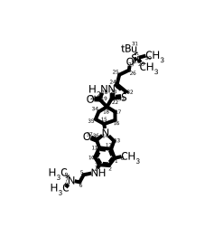 Cc1cc(NCCN(C)C)cc2c1CN(C1CCC(C(N)=O)(c3nc(CCO[Si](C)(C)C(C)(C)C)cs3)CC1)C2=O